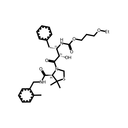 CCOCCCOC(=O)N[C@@H](Cc1ccccc1)[C@H](O)C(=O)N1CSC(C)(C)[C@H]1C(=O)NCc1ccccc1C